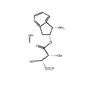 CO.N[C@H]1c2ccccc2C[C@H]1OC(=O)[C@H](O)[C@@H](O)C(=O)O